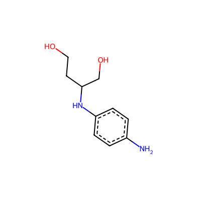 Nc1ccc(NC(CO)CCO)cc1